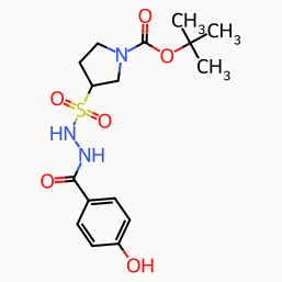 CC(C)(C)OC(=O)N1CCC(S(=O)(=O)NNC(=O)c2ccc(O)cc2)C1